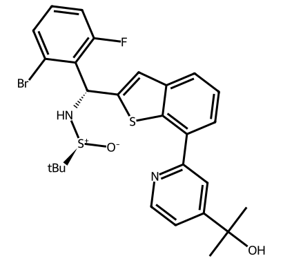 CC(C)(O)c1ccnc(-c2cccc3cc([C@H](N[S@@+]([O-])C(C)(C)C)c4c(F)cccc4Br)sc23)c1